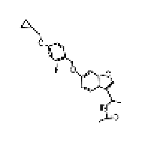 CC(=O)NC(C)c1coc2cc(OCc3ccc(OCC4CC4)nc3F)ccc12